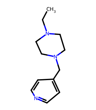 CCN1CCN(Cc2ccncc2)CC1